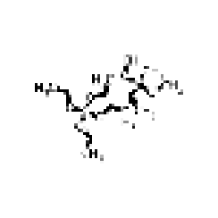 C=C[Si](C)(OC)OC.CCO[Si](OCC)(OCC)OCC